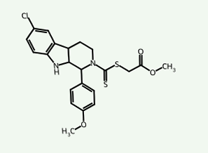 COC(=O)CSC(=S)N1CCC2c3cc(Cl)ccc3NC2C1c1ccc(OC)cc1